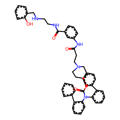 O=C(CCN1CCC(OC(=O)N(c2ccccc2-c2ccccc2)c2ccccc2-c2ccccc2)CC1)Nc1cccc(C(=O)NCCNCc2ccccc2O)c1